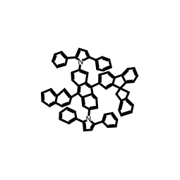 c1ccc(-c2ccc(-c3ccccc3)n2-c2ccc3c(-c4ccc5ccccc5c4)c4cc(-n5c(-c6ccccc6)ccc5-c5ccccc5)ccc4c(-c4ccc5c(c4)C4(Cc6ccccc6C4)c4ccccc4-5)c3c2)cc1